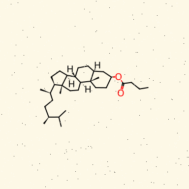 CCCC(=O)O[C@H]1CC[C@@]2(C)[C@@H](CC[C@@H]3[C@@H]2CC[C@]2(C)[C@@H]([C@H](C)CC[C@H](C)C(C)C)CC[C@@H]32)C1